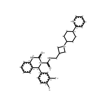 O=C(NCC1CN(C2CCC(c3ccccn3)CC2)C1)N1C(=O)Nc2ccccc2C1c1ccc(F)c(F)c1